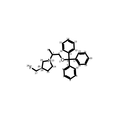 CC(COC(c1ccccc1)(c1ccccc1)c1ccccc1)N1CC[C@@H](CF)C1